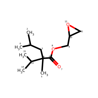 CC(C)CC(C)(C(=O)OCC1CO1)C(C)C